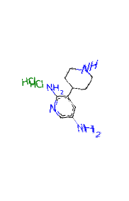 Cl.Cl.Nc1cnc(N)c(C2CCNCC2)c1